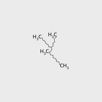 CCCCCCCCC(C)CC(CCCCCC)CCCCCCC